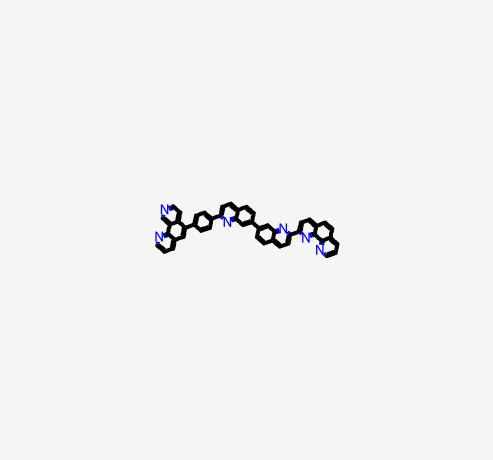 c1cnc2c(c1)cc(-c1ccc(-c3ccc4ccc(-c5ccc6ccc(-c7ccc8ccc9cccnc9c8n7)nc6c5)cc4n3)cc1)c1ccncc12